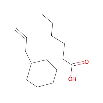 C=CC[C]1CCCCC1.CCCCCC(=O)O